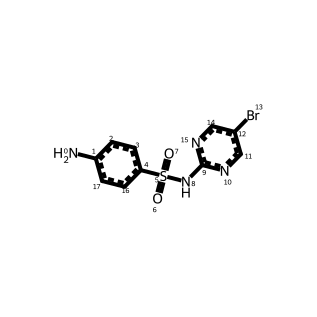 Nc1ccc(S(=O)(=O)Nc2ncc(Br)cn2)cc1